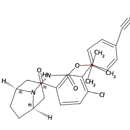 CC(C)(C)OC(=O)N[C@@H]1C[C@H]2CC[C@@H](C1)N2C(=O)c1ccc(Cl)c(-c2ccc(C#N)cc2)c1